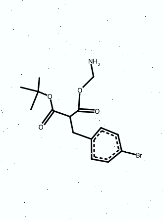 CC(C)(C)OC(=O)C(Cc1ccc(Br)cc1)C(=O)OCN